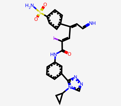 N=C/C=C(\C=C(/I)C(=O)Nc1cccc(-c2nncn2C2CC2)c1)c1ccc(S(N)(=O)=O)cc1